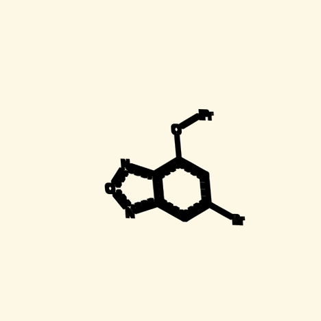 CC(C)Oc1cc(Br)cc2nonc12